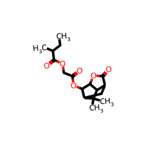 CCC(C)C(=O)OCC(=O)OC1C2OC(=O)C3CC1C(C)(C)C32